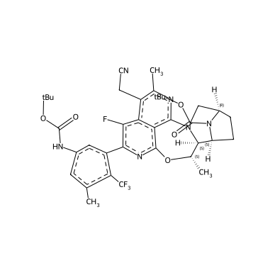 Cc1cc(NC(=O)OC(C)(C)C)cc(-c2nc3c4c(nc(C)c(CC#N)c4c2F)N2C[C@H]4CC[C@@H]([C@H]2[C@H](C)O3)N4C(=O)OC(C)(C)C)c1C(F)(F)F